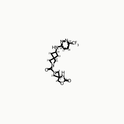 O=C1NC2(CO1)CN(C(=O)N1CC3(CC(Nc4ccc(C(F)(F)F)nn4)C3)C1)C2